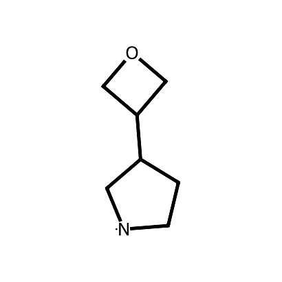 C1CC(C2COC2)C[N]1